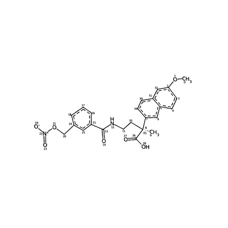 COc1ccc2cc([C@](C)(CCNC(=O)c3cccc(CO[N+](=O)[O-])c3)C(=O)O)ccc2c1